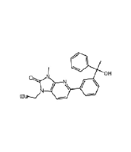 Cn1c(=O)n(CC(C)(C)C)c2ccc(-c3cccc(C(C)(O)c4ccccc4)c3)nc21